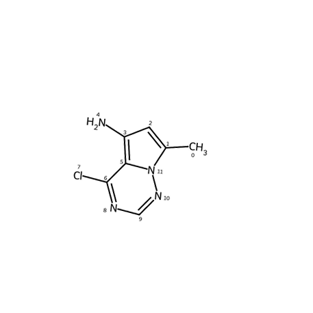 Cc1cc(N)c2c(Cl)ncnn12